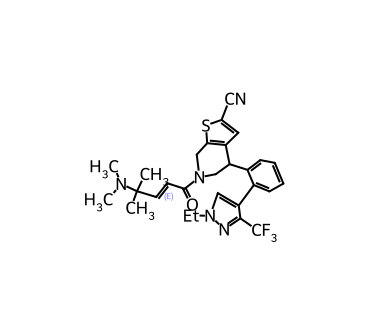 CCn1cc(-c2ccccc2C2CN(C(=O)/C=C/C(C)(C)N(C)C)Cc3sc(C#N)cc32)c(C(F)(F)F)n1